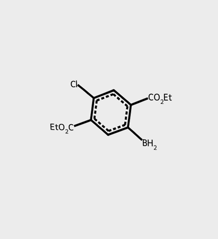 Bc1cc(C(=O)OCC)c(Cl)cc1C(=O)OCC